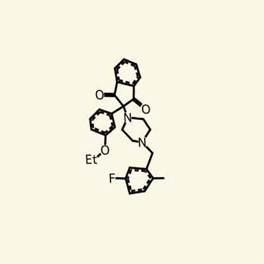 CCOc1cccc(C2(N3CCN(Cc4cc(F)ccc4C)CC3)C(=O)c3ccccc3C2=O)c1